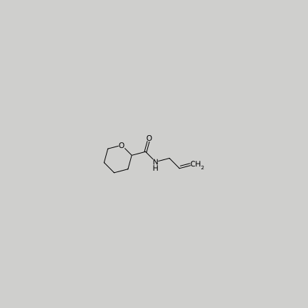 C=CCNC(=O)C1CCCCO1